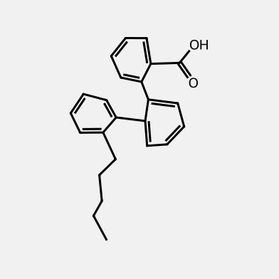 CCCCCc1ccccc1-c1ccccc1-c1ccccc1C(=O)O